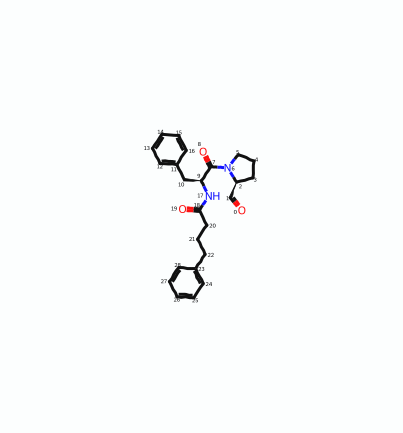 O=C[C@@H]1CCCN1C(=O)[C@H](Cc1ccccc1)NC(=O)CCCc1ccccc1